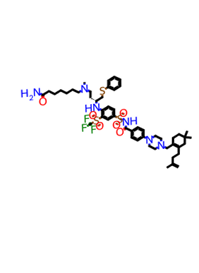 C=C(C)CCC1=C(CN2CCN(c3ccc(C(=O)NS(=O)(=O)c4ccc(N[C@H](CCN(C)CCCCCCC(N)=O)CSc5ccccc5)c(S(=O)(=O)C(F)(F)F)c4)cc3)CC2)CCC(C)(C)C1